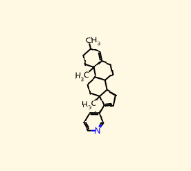 CC1C=C2CCC3C(CCC4(C)C(c5cccnc5)=CCC34)C2(C)CC1